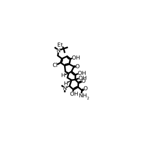 CCC(C)(C)N(C)Cc1cc(O)c2c(c1Cl)C[C@H]1C[C@H]3[C@H](N(C)C)C(O)=C(C(N)=O)C(=O)C3(O)C(O)=C1C2=O